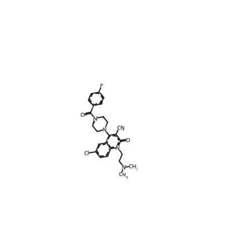 CN(C)CCn1c(=O)c(C#N)c(N2CCN(C(=O)c3ccc(F)cc3)CC2)c2cc(Cl)ccc21